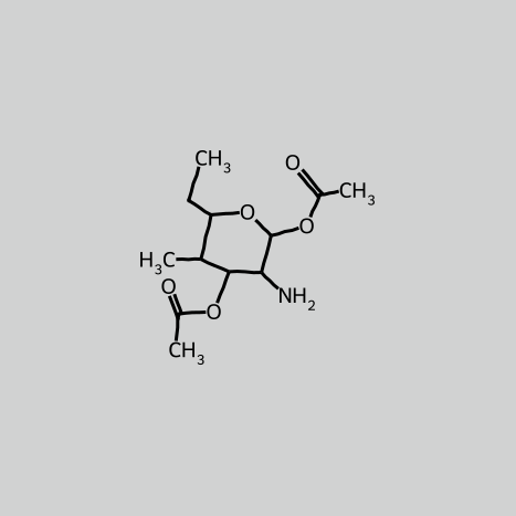 CCC1OC(OC(C)=O)C(N)C(OC(C)=O)C1C